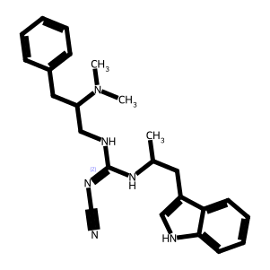 CC(Cc1c[nH]c2ccccc12)N/C(=N\C#N)NCC(Cc1ccccc1)N(C)C